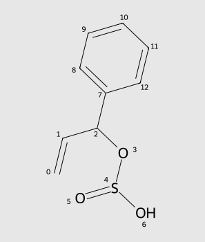 C=CC(OS(=O)O)c1ccccc1